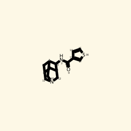 O=C(NC1C2CC3CC1CN(C3)C2)c1ccsc1